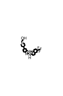 OCCN1CCC(c2ccc3nc(Nc4ccc5cc(C(F)(F)F)ccc5n4)[nH]c3c2)CC1